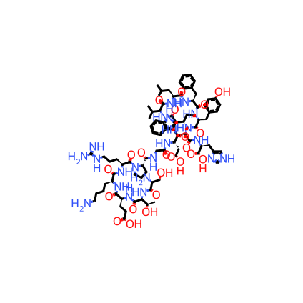 CC[C@H](C)[C@H](NC(=O)[C@H](CC(=O)O)NC(=O)CNC(=O)[C@@H]1CCCN1C(=O)[C@H](CCCNC(=N)N)NC(=O)[C@H](CCCCN)NC(=O)[C@H](CCC(=O)O)NC(=O)[C@@H](NC(=O)[C@@H](N)CO)[C@@H](C)O)C(=O)N[C@H](C(=O)N[C@@H](CC(C)C)C(=O)N[C@@H](Cc1ccccc1)C(=O)N[C@@H](Cc1ccc(O)cc1)C(=O)N[C@@H](Cc1c[nH]c2ccccc12)C(=O)N[C@@H](Cc1c[nH]cn1)C(=O)O)C(C)C